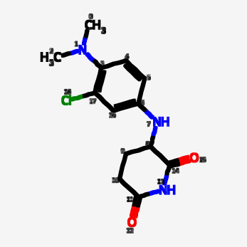 CN(C)c1ccc(NC2CCC(=O)NC2=O)cc1Cl